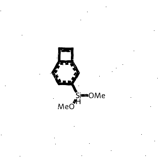 CO[SiH](OC)c1ccc2c(c1)C=C2